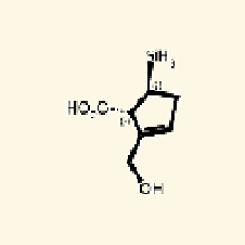 O=C(O)[C@H]1C(CO)=CC[C@@H]1[SiH3]